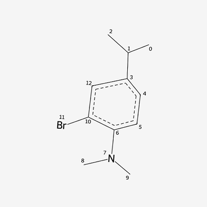 CC(C)c1ccc(N(C)C)c(Br)c1